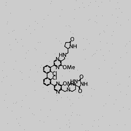 COc1nc(-c2cccc(-c3cccc(-c4cnc(CN5CCC6(CC5)NC(=O)NC6=O)c(OC)n4)c3Cl)c2Cl)cnc1CNCC1CCC(=O)N1